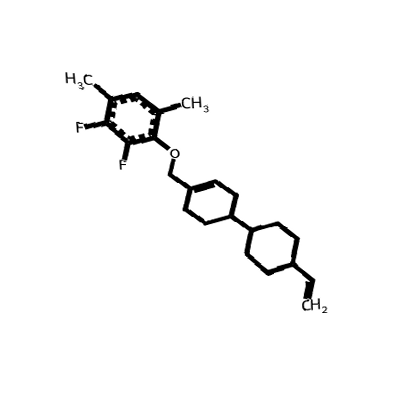 C=CC1CCC(C2CC=C(COc3c(C)cc(C)c(F)c3F)CC2)CC1